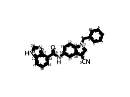 N#Cc1cn(Cc2ccccc2)c2ccc(NC(=O)c3cccc4[nH]cnc34)cc12